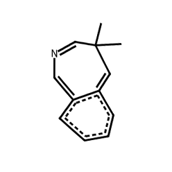 CC1(C)C=NC=c2ccccc2=C1